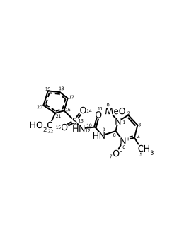 CON1C=CC(C)=[N+]([O-])C1NC(=O)NS(=O)(=O)c1ccccc1C(=O)O